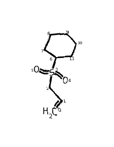 C=CCS(=O)(=O)C1CCCCC1